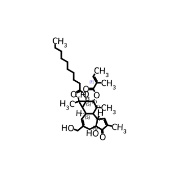 C/C=C(\C)C(=O)O[C@@H]1[C@@H](C)C2[C@@H](C=C(CO)C[C@]3(O)C(=O)C(C)=C[C@@H]23)C2C(C)(C)[C@@]21OC(=O)CCCCCCCCC